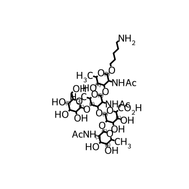 CC(=O)NC1C(O[C@@H]2OC(C)[C@@H](O[C@@H]3OC(CO)[C@@H](O)C(O)C3O)C(O[C@@H]3OC(C(=O)O)[C@@H](O)C(O)C3O[C@@H]3OC(C)[C@@H](O)C(O)[C@@H]3NC(C)=O)C2NC(C)=O)[C@H](O)C(C)O[C@H]1OCCCCCN